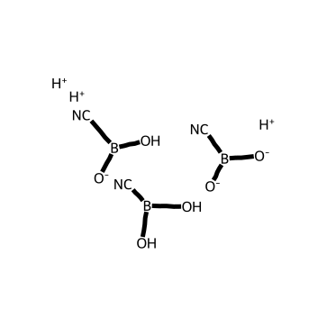 N#CB(O)O.N#CB([O-])O.N#CB([O-])[O-].[H+].[H+].[H+]